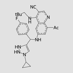 CC(=O)c1cc(NC(C2=CN(C3CC3)NN2)c2ccc(F)cc2)cc2c(NCC(C)(C)C)c(C#N)cnc12